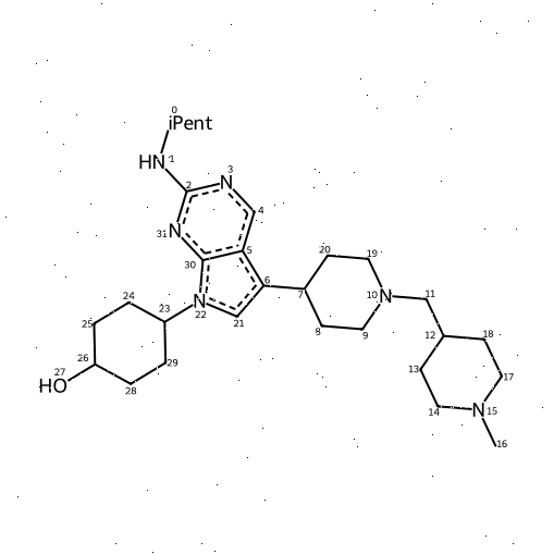 CCCC(C)Nc1ncc2c(C3CCN(CC4CCN(C)CC4)CC3)cn(C3CCC(O)CC3)c2n1